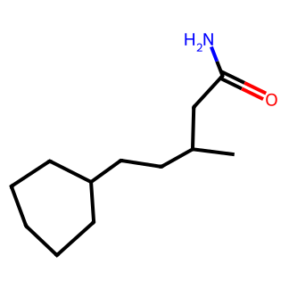 CC(CCC1CCCCC1)CC(N)=O